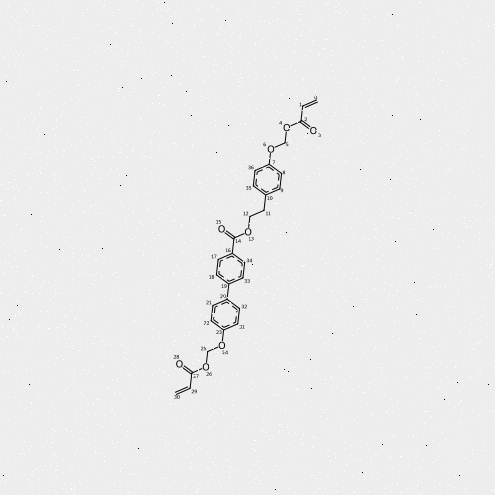 C=CC(=O)OCOc1ccc(CCOC(=O)c2ccc(-c3ccc(OCOC(=O)C=C)cc3)cc2)cc1